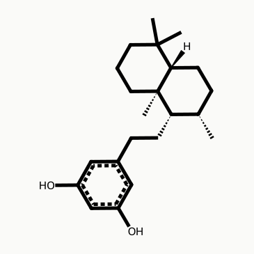 C[C@H]1CC[C@H]2C(C)(C)CCC[C@]2(C)[C@H]1CCc1cc(O)cc(O)c1